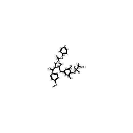 CSc1ccc(C(=O)C2CN(C(=O)Oc3ccccc3)CC2Cc2cc(C)c(OC(C)(C)C(=O)O)c(C)c2)cc1